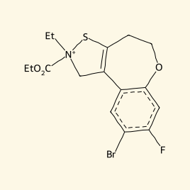 CCOC(=O)[N+]1(CC)CC2=C(CCOc3cc(F)c(Br)cc32)S1